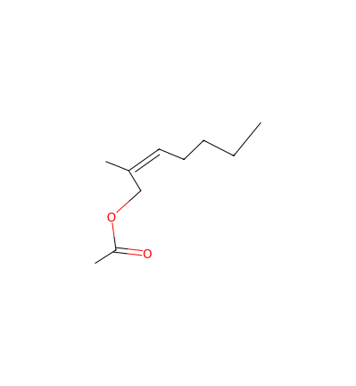 CCCCC=C(C)COC(C)=O